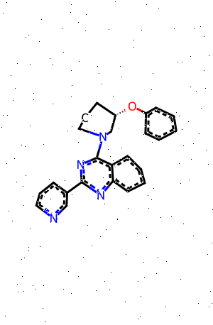 c1ccc(O[C@H]2CCCN(c3nc(-c4cccnc4)nc4ccccc34)C2)cc1